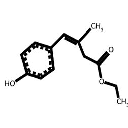 CCOC(=O)CC(C)=Cc1ccc(O)cc1